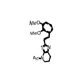 COc1cccc(/C=C/c2nc3c(s2)N(C(C)=O)CCC3)c1OC